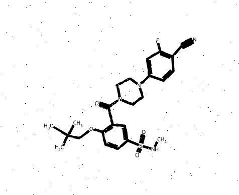 CNS(=O)(=O)c1ccc(OCC(C)(C)C)c(C(=O)N2CCN(c3ccc(C#N)c(F)c3)CC2)c1